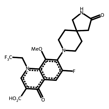 COc1c(N2CCC3(CC2)CNC(=O)C3)c(F)cc2c(=O)c(C(=O)O)cn(CC(F)(F)F)c12